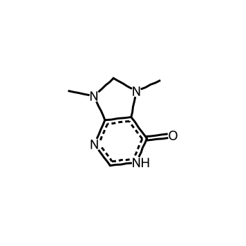 CN1CN(C)c2c1nc[nH]c2=O